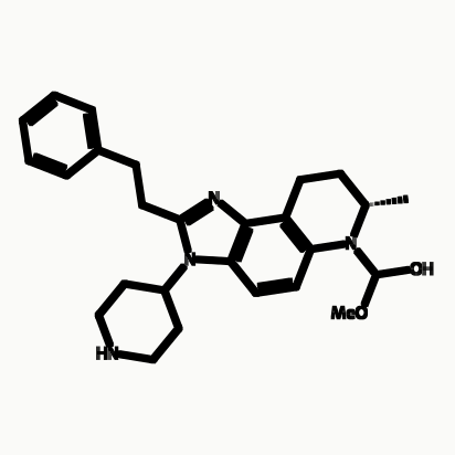 COC(O)N1c2ccc3c(nc(CCc4ccccc4)n3C3CCNCC3)c2CC[C@@H]1C